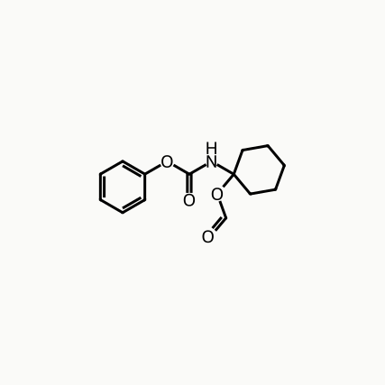 O=COC1(NC(=O)Oc2ccccc2)CCCCC1